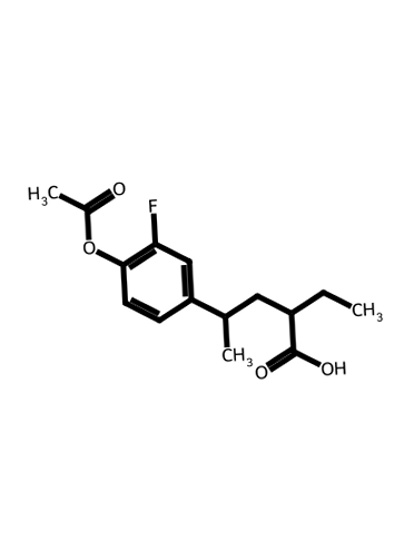 CCC(CC(C)c1ccc(OC(C)=O)c(F)c1)C(=O)O